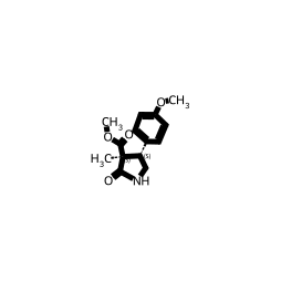 COC(=O)[C@]1(C)C(=O)NC[C@H]1c1ccc(OC)cc1